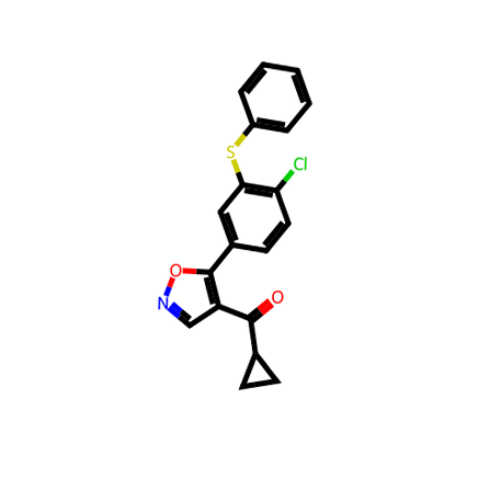 O=C(c1cnoc1-c1ccc(Cl)c(Sc2ccccc2)c1)C1CC1